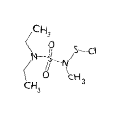 CCN(CC)S(=O)(=O)N(C)SCl